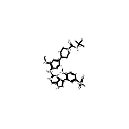 COc1cc(C2CCN(C(=O)OC(C)(C)C)CC2)ccc1Nc1ncc2scc(-c3cc(S(C)(=O)=O)ccc3OC)c2n1